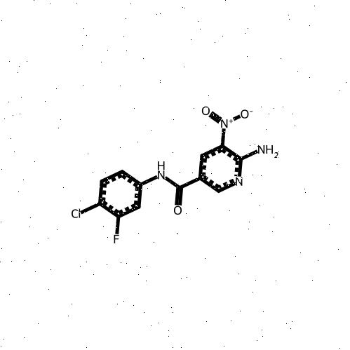 Nc1ncc(C(=O)Nc2ccc(Cl)c(F)c2)cc1[N+](=O)[O-]